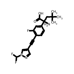 CC(C)(C)CC(N)(C(=O)O)c1ccc(C#Cc2cnn(C(F)F)c2)c(F)c1